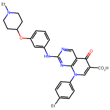 CCc1ccc(-n2cc(C(=O)O)c(=O)c3cnc(Nc4cccc(OC5CCN(CC)CC5)c4)nc32)cc1